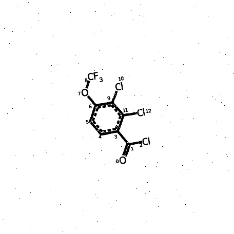 O=C(Cl)c1ccc(OC(F)(F)F)c(Cl)c1Cl